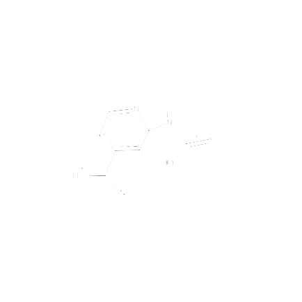 CC/C=C(/Nc1cc(C(C)N)ccn1)C(C)C